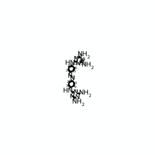 Nc1nc(N)nc(Nc2ccc(/N=N/c3ccc(Nc4nc(N)nc(N)n4)cc3)cc2)n1